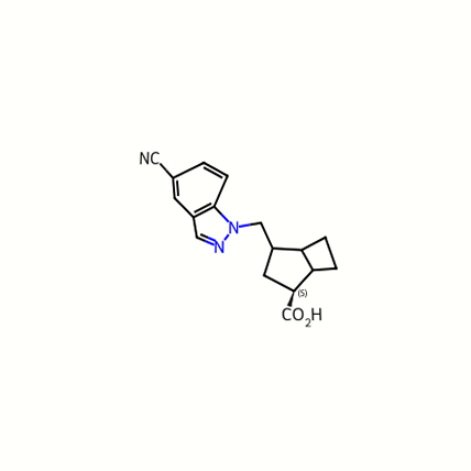 N#Cc1ccc2c(cnn2CC2C[C@H](C(=O)O)C3CCC23)c1